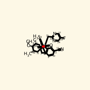 CO[C@H]1[C@H](C)C[C@@]2(Cc3ccc(C#N)cc3[C@]23NC(=S)N(Cc2ncc(F)cn2)C3=O)C[C@@H]1C